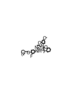 COc1ccc(N(C(=O)OC(C)c2ccccc2)c2ccnc(Nc3ccc(OCC4CCCN(C)C4)c(F)c3)n2)c(OC)c1